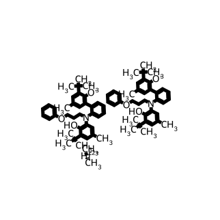 Cc1cc(-c2ccccc2N(CCCOc2ccccc2)c2cc(C)cc(C(C)(C)C)c2O)c([O-])c(C(C)(C)C)c1.Cc1cc(-c2ccccc2N(CCCOc2ccccc2)c2cc(C)cc(C(C)(C)C)c2O)c([O-])c(C(C)(C)C)c1.[CH3][Hf+2][CH3]